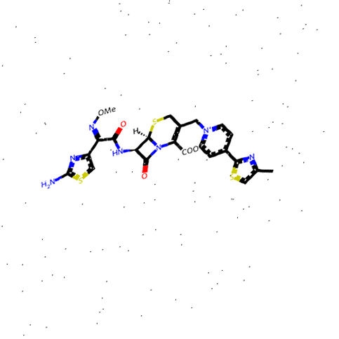 CO/N=C(\C(=O)N[C@@H]1C(=O)N2C(C(=O)[O-])=C(C[n+]3ccc(-c4nc(C)cs4)cc3)CS[C@H]12)c1csc(N)n1